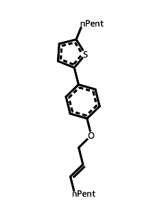 CCCCCC=CCOc1ccc(-c2ccc(CCCCC)s2)cc1